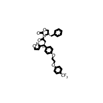 O=C(C[C@@H](c1ccc(OCCOc2ccc(C(F)(F)F)cc2)cc1)c1ccon1)N1C(=O)OC[C@@H]1Cc1ccccc1